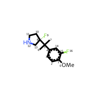 COc1ccc(C(C)(C)[C@]2(F)CCNC2)cc1F